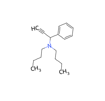 C#CC(c1ccccc1)N(CCCC)CCCC